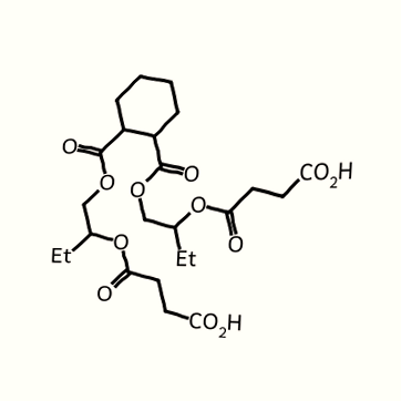 CCC(COC(=O)C1CCCCC1C(=O)OCC(CC)OC(=O)CCC(=O)O)OC(=O)CCC(=O)O